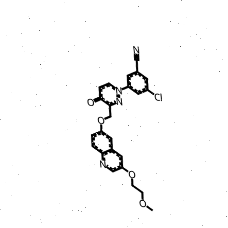 COCCOc1cnc2ccc(OCc3nn(-c4cc(Cl)cc(C#N)c4)ccc3=O)cc2c1